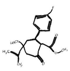 COC(=O)C1C(=O)CC(O)(C(C)C)CC1c1ccc(F)cc1